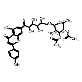 CC(=O)O[C@@H]1[C@@H](OC(C)=O)[C@@H](O)C(OCC(O)C(O)C(O)C(O)C(=O)c2cc(O)c3c(=O)cc(-c4ccc(O)cc4)oc3c2)O[C@H]1C